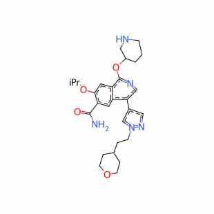 CC(C)Oc1cc2c(OC3CCCNC3)ncc(-c3cnn(CCC4CCOCC4)c3)c2cc1C(N)=O